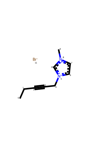 CCC#CC[n+]1ccn(C)c1.[Br-]